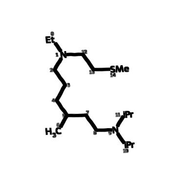 CCN(CCCC(C)CCN(C(C)C)C(C)C)CCSC